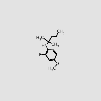 CCCC(C)(C)Nc1ccc(OC)cc1F